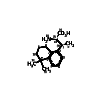 C[C@H](c1cccc2c1CCCC2(C)C)[C@H](N)C(=O)O